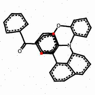 O=C(c1ccccc1)c1cccc(-c2cccc3cccc(N4c5ccccc5Oc5ccccc54)c23)c1